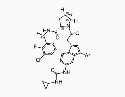 CC(=O)c1cn(CC(=O)N2[C@@H]3C[C@@H]3C[C@H]2C(=O)N[C@H](C)c2cccc(Cl)c2F)c2ccc(NC(=O)NC3CC3)cc12